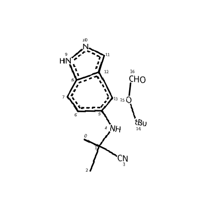 CC(C)(C#N)Nc1ccc2[nH]ncc2c1.CC(C)(C)OC=O